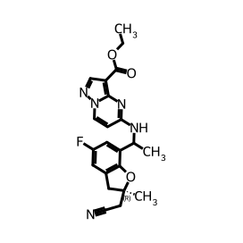 CCOC(=O)c1cnn2ccc(NC(C)c3cc(F)cc4c3O[C@@](C)(CC#N)C4)nc12